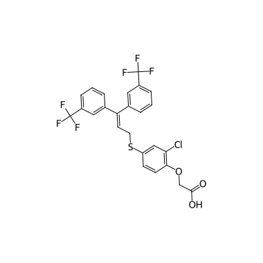 O=C(O)COc1ccc(SCC=C(c2cccc(C(F)(F)F)c2)c2cccc(C(F)(F)F)c2)cc1Cl